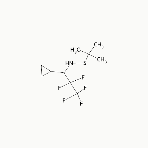 CC(C)(C)SNC(C1CC1)C(F)(F)C(F)(F)F